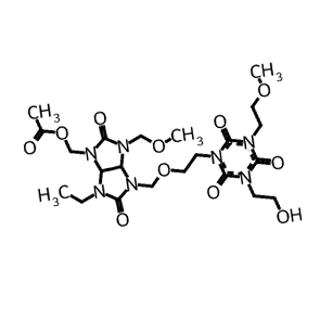 CCN1C(=O)N(COCCn2c(=O)n(CCO)c(=O)n(CCOC)c2=O)C2C1N(COC(C)=O)C(=O)N2COC